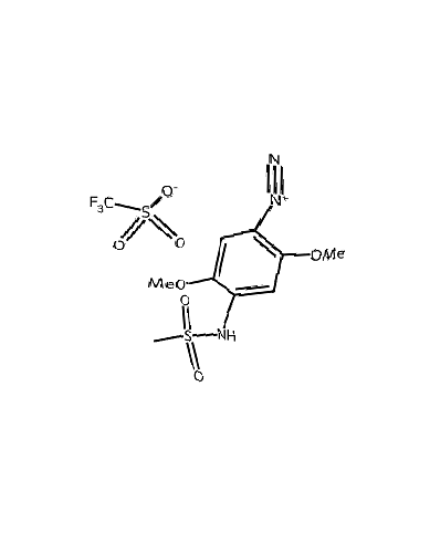 COc1cc(NS(C)(=O)=O)c(OC)cc1[N+]#N.O=S(=O)([O-])C(F)(F)F